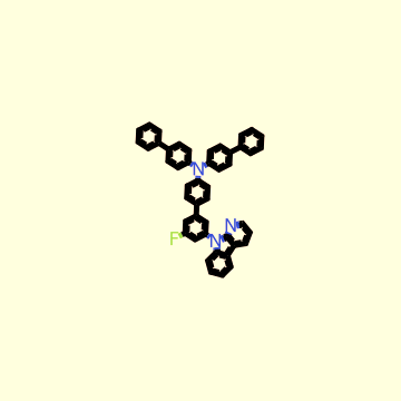 Fc1cc(-c2ccc(N(c3ccc(-c4ccccc4)cc3)c3ccc(-c4ccccc4)cc3)cc2)cc(-n2c3ccccc3c3cccnc32)c1